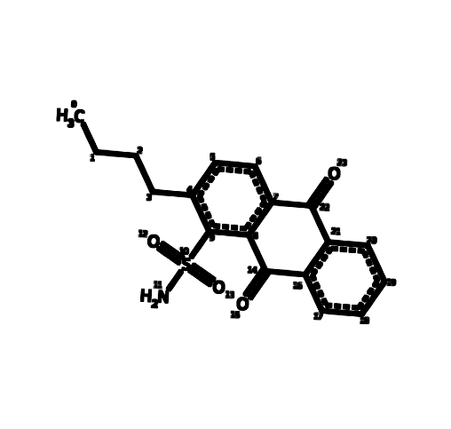 CCCCc1ccc2c(c1S(N)(=O)=O)C(=O)c1ccccc1C2=O